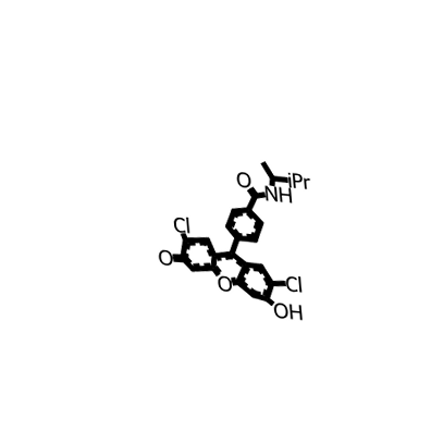 CC(C)C(C)NC(=O)c1ccc(-c2c3cc(Cl)c(=O)cc-3oc3cc(O)c(Cl)cc23)cc1